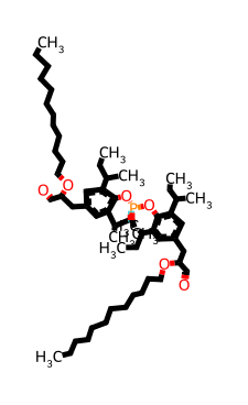 CCCCCCCCCCCCOC(C=O)Cc1cc(C(C)CC)c(OP(F)Oc2c(C(C)CC)cc(CC(C=O)OCCCCCCCCCCCC)cc2C(C)CC)c(C(C)CC)c1